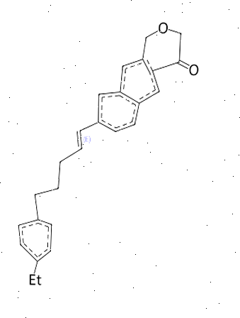 CCc1ccc(CCC/C=C/c2ccc3cc4c(cc3c2)COCC4=O)cc1